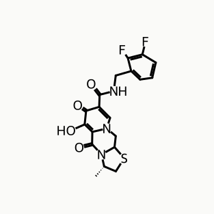 C[C@H]1CSC2Cn3cc(C(=O)NCc4cccc(F)c4F)c(=O)c(O)c3C(=O)N21